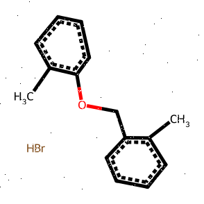 Br.Cc1ccccc1COc1ccccc1C